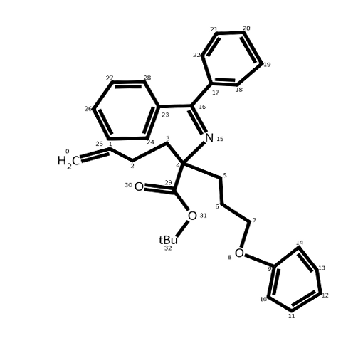 C=CCCC(CCCOc1ccccc1)(N=C(c1ccccc1)c1ccccc1)C(=O)OC(C)(C)C